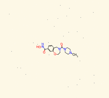 CN1CCN(C(=O)N2CCOc3cc(C(=O)NO)ccc3C2)CC1